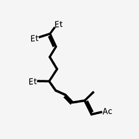 CCC(=CCCC(CC)C/C=C/C(C)=C/C(C)=O)CC